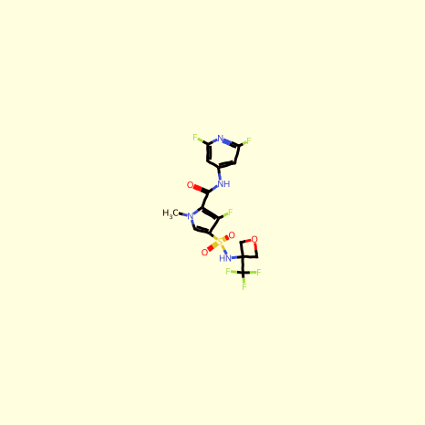 Cn1cc(S(=O)(=O)NC2(C(F)(F)F)COC2)c(F)c1C(=O)Nc1cc(F)nc(F)c1